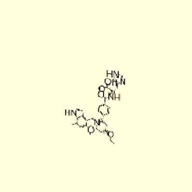 CCO[C@H]1CCN(Cc2c(OC)cc(C)c3[nH]ccc23)[C@H](c2ccc(C(=O)N[C@@H](Cc3c[nH]cn3)C(=O)O)cc2)C1